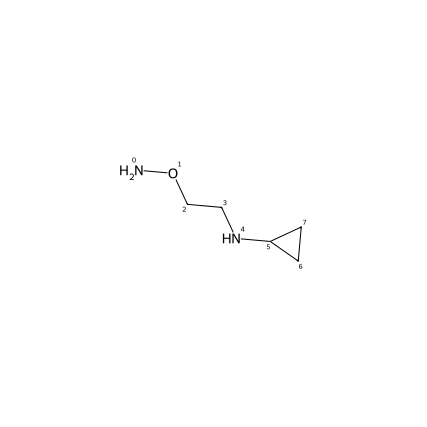 NOCCNC1CC1